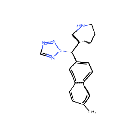 Cc1ccc2cc([C@@H]([C@H]3CCCNC3)n3ncnn3)ccc2c1